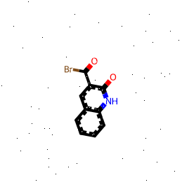 O=C(Br)c1cc2ccccc2[nH]c1=O